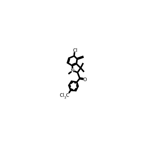 C=C1C2=C(C=CC1Cl)N(C)C(C(=O)c1ccc(C(Cl)(Cl)Cl)cc1)C2(C)C